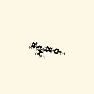 NC(=O)c1cn(-c2cc3cn(C4CCC(CO)CC4)nc3cn2)[n+]2ccc(N3C[C@H]4C[C@@H]3CO4)nc12